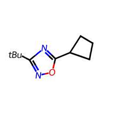 CC(C)(C)c1noc(C2CCC2)n1